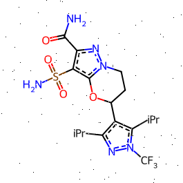 CC(C)c1nn(C(F)(F)F)c(C(C)C)c1C1CCn2nc(C(N)=O)c(S(N)(=O)=O)c2O1